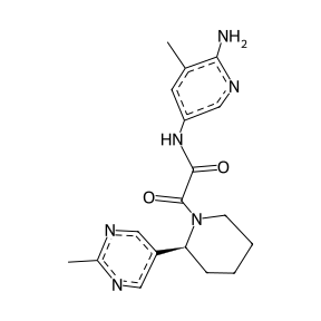 Cc1ncc([C@@H]2CCCCN2C(=O)C(=O)Nc2cnc(N)c(C)c2)cn1